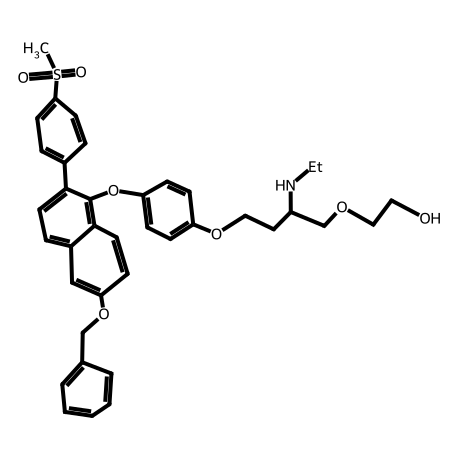 CCNC(CCOc1ccc(Oc2c(-c3ccc(S(C)(=O)=O)cc3)ccc3cc(OCc4ccccc4)ccc23)cc1)COCCO